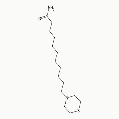 NC(=O)CCCCCCCCCCN1CCSCC1